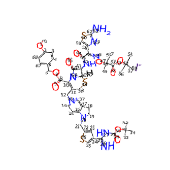 COc1ccc(COC(=O)C2=C(C[n+]3ccc4c(ccn4Cc4cc(C(=N)NC(=O)OC(C)(C)C)cs4)c3)CS[C@@H]3[C@H](NC(=O)C(=NOC(C)(C)C(=O)OC(C)(C)C)c4csc(N)n4)C(=O)N23)cc1.[I-]